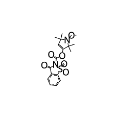 CC1(C)C=C(OC(=O)N2C(=O)c3ccccc3S2(=O)=O)C(C)(C)N1[O]